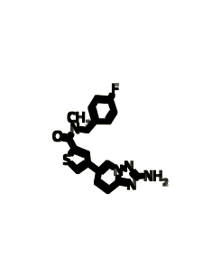 CN(Cc1ccc(F)cc1)C(=O)c1cc(-c2ccc3nc(N)nn3c2)cs1